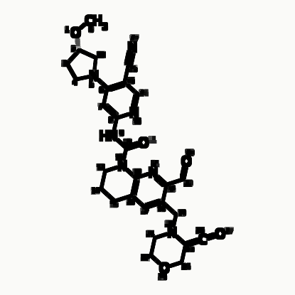 CO[C@H]1CCN(c2cc(NC(=O)N3CCCc4cc(CN5CCOCC5=C=O)c(C=O)nc43)ncc2C#N)C1